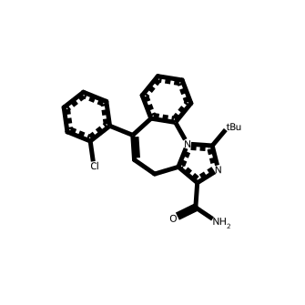 CC(C)(C)c1nc(C(N)=O)c2n1-c1ccccc1C(c1ccccc1Cl)=CC2